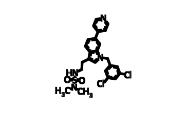 CN(C)S(=O)(=O)NCCc1cn(Cc2cc(Cl)cc(Cl)c2)c2cc(-c3ccncc3)ccc12